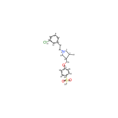 CC1CN(CCc2cccc(Cl)c2)CC1COc1ccc(S(C)(=O)=O)cc1